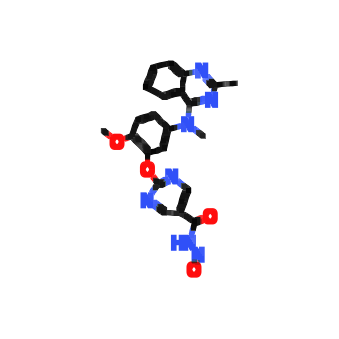 COc1ccc(N(C)c2nc(C)nc3ccccc23)cc1Oc1ncc(C(=O)NN=O)cn1